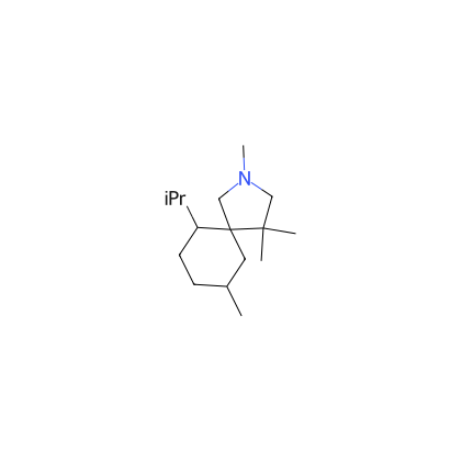 CC1CCC(C(C)C)C2(C1)CN(C)CC2(C)C